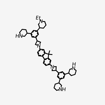 CCN1CCCC(c2cc(C3CCCNC3)cc(C3CN(c4ccc5c(c4)C(C)(C)c4cc(N6CC(c7cc(C8CCCNC8)cc(C8CCCNC8)c7)C6)ccc4-5)C3)c2)C1